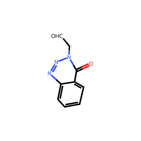 O=C[CH]n1nnc2ccccc2c1=O